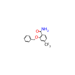 NC(=O)c1ccc(C(F)(F)F)cc1OCc1ccccc1